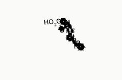 O=C(O)c1ccc2nc(CN3CCN(c4cccc(OCc5nc6ccccc6o5)n4)CC3)n(C[C@@H]3CCO3)c2c1